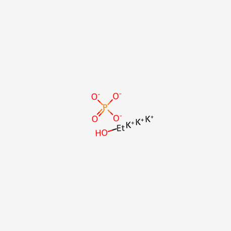 CCO.O=P([O-])([O-])[O-].[K+].[K+].[K+]